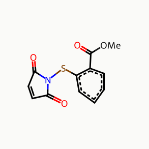 COC(=O)c1ccccc1SN1C(=O)C=CC1=O